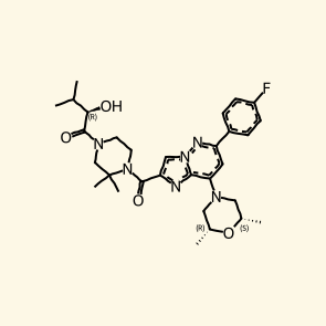 CC(C)[C@@H](O)C(=O)N1CCN(C(=O)c2cn3nc(-c4ccc(F)cc4)cc(N4C[C@@H](C)O[C@@H](C)C4)c3n2)C(C)(C)C1